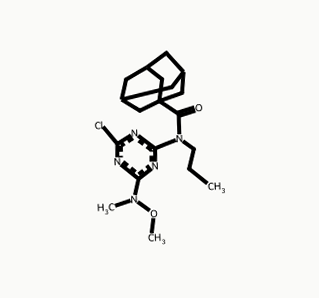 CCCN(C(=O)C12CC3CC(CC(C3)C1)C2)c1nc(Cl)nc(N(C)OC)n1